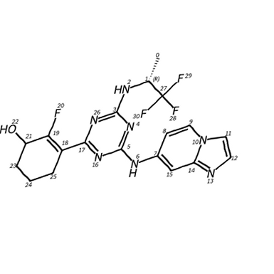 C[C@@H](Nc1nc(Nc2ccn3ccnc3c2)nc(C2=C(F)C(O)CCC2)n1)C(F)(F)F